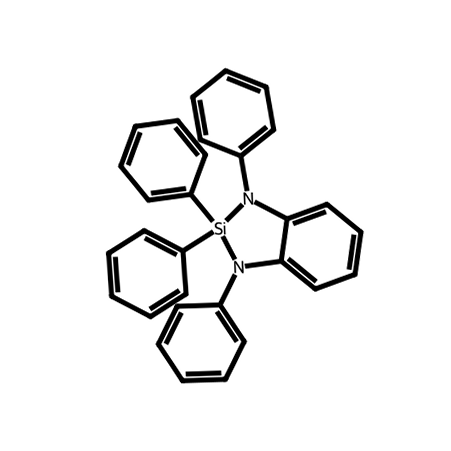 c1ccc(N2c3ccccc3N(c3ccccc3)[Si]2(c2ccccc2)c2ccccc2)cc1